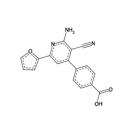 N#Cc1c(-c2ccc(C(=O)O)cc2)cc(-c2ccco2)nc1N